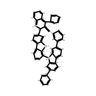 C=C1C(c2ccccc2)=c2ccccc2=NC1c1ccc2c(c1)oc1c(-n3c4cc(-c5ccccc5)ccc4c4ccc(-c5ccccc5)cc43)cccc12